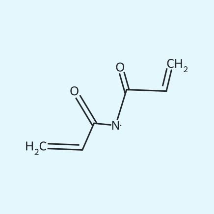 C=CC(=O)[N]C(=O)C=C